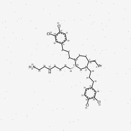 CC(C)C[C@@H]1CCN(CCCc2ccc(Cl)c(Cl)c2)[C@@H](CCCCNCCN)CN1CCCc1ccc(Cl)c(Cl)c1